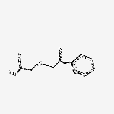 C=C(CSCC(=O)O)c1ccccc1